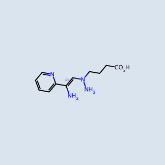 N/C(=C\N(N)CCCC(=O)O)c1ccccn1